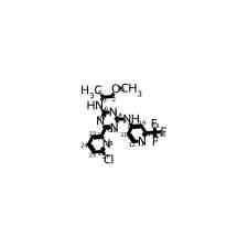 COCC(C)Nc1nc(Nc2ccnc(C(F)(F)F)c2)nc(-c2cccc(Cl)n2)n1